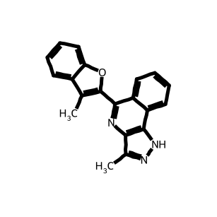 Cc1c(-c2nc3c(C)n[nH]c3c3ccccc23)oc2ccccc12